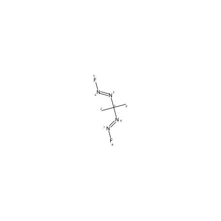 CC(C)(N=NF)N=NF